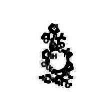 CCn1c(-c2cc(N3CCN(C)CC3)cnc2[C@H](C)OC)c2c3cc(ccc31)-c1csc(n1)C[C@H](NC(=O)C(C(C)C)N(C)C(=O)[C@@H]1OCC[C@@H]1c1ccncc1)C(=O)N1CCC[C@H](N1)C(=O)OCC(C)(C)C2